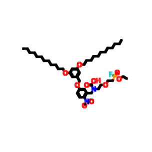 CCCCCCCCCCCCOc1cc(COc2ccc([N+](=O)[O-])c(CN(CCOCCP(=O)(F)OCC)C(=O)O)c2)cc(OCCCCCCCCCCCC)c1